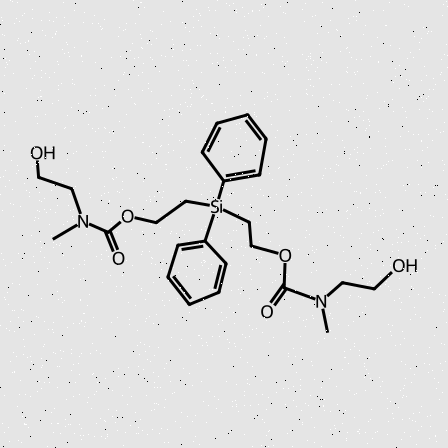 CN(CCO)C(=O)OCC[Si](CCOC(=O)N(C)CCO)(c1ccccc1)c1ccccc1